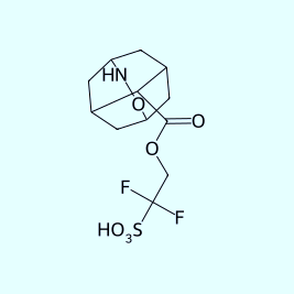 O=C(OCC(F)(F)S(=O)(=O)O)C1C2CC3CC1CC(C2)ON3